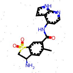 Cc1cc2c(cc1C(=O)Nc1ccnc3[nH]ccc13)S(=O)(=O)C[C@@H]2N